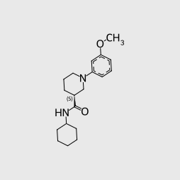 COc1cccc(N2CCC[C@H](C(=O)NC3CCCCC3)C2)c1